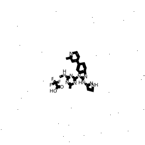 CNc1nc(C)nc(-n2c(Nc3cc[nH]n3)nc3ccc(-c4ccnc(C)c4)cc32)n1.O=C(O)C(F)(F)F